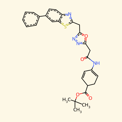 CC(C)(C)OC(=O)C1C=CC(NC(=O)Cc2nnc(Cc3nc4ccc(-c5ccccc5)cc4s3)o2)=CC1